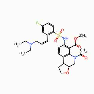 CCN(CC)C/C=C\c1cc(F)ccc1S(=O)(=O)Nc1ccc2c(c1C(=O)OC)N(C(C)=O)CC1OCCC21